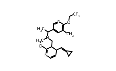 Cc1cc(C(C)N(C)CC2C(Cl)=NC=CC2C=C2CC2)cnc1OCC(F)(F)F